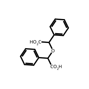 O=C(O)C(OC(C(=O)O)c1ccccc1)c1ccccc1